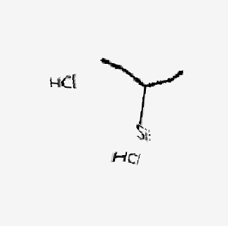 CC(C)[Si].Cl.Cl